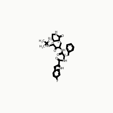 CC(C)(C)NC(=O)C(=O)C(C[C@@H]1CCCNC1=O)NC(=O)[C@H](Cc1ccccc1)NC(=O)c1cc2ccc(F)cc2[nH]1